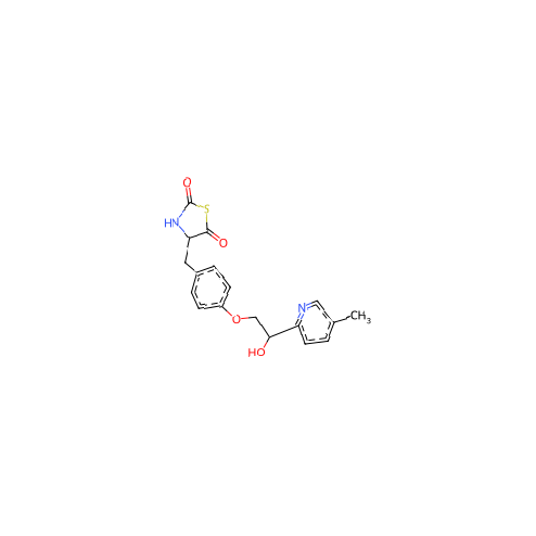 Cc1ccc(C(O)COc2ccc(CC3NC(=O)SC3=O)cc2)nc1